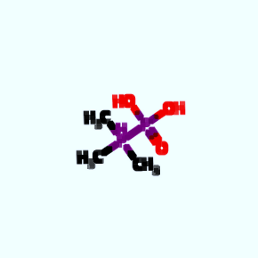 C[PH](C)(C)P(=O)(O)O